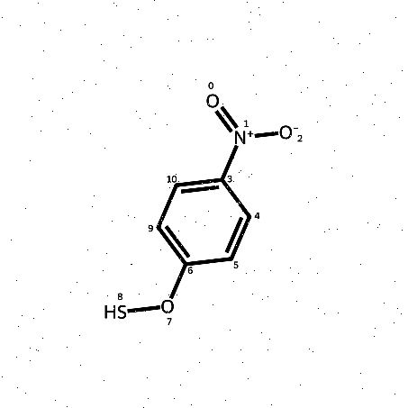 O=[N+]([O-])c1ccc(OS)cc1